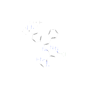 O=C(O)NC1(c2ccc(-c3nc4c(-c5ncc[nH]5)cc(Cl)nn4c3-c3ccccc3)cc2)CCC1